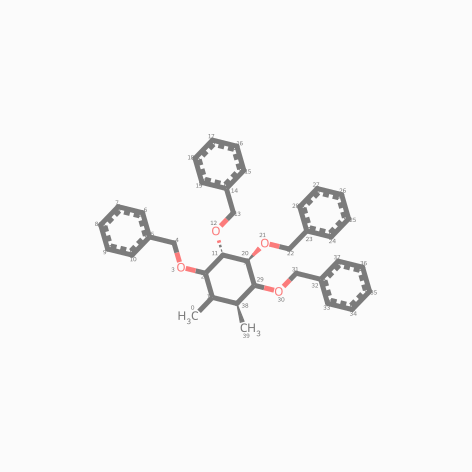 CC1C(OCc2ccccc2)[C@H](OCc2ccccc2)[C@@H](OCc2ccccc2)C(OCc2ccccc2)[C@H]1C